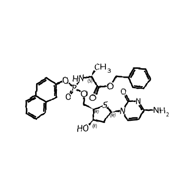 C[C@H](NP(=O)(OC[C@H]1S[C@@H](n2ccc(N)nc2=O)C[C@H]1O)Oc1ccc2ccccc2c1)C(=O)OCc1ccccc1